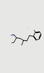 COc1ccccc1CCC(C)CC(CN)CC(=O)O